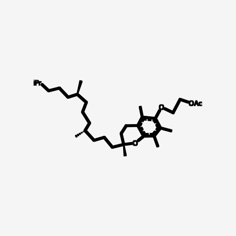 CC(=O)OCCOc1c(C)c(C)c2c(c1C)CC[C@@](C)(CCC[C@H](C)CCC[C@H](C)CCCC(C)C)O2